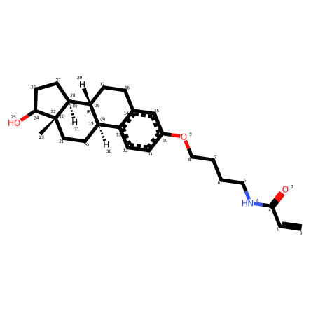 C=CC(=O)NCCCCOc1ccc2c(c1)CC[C@@H]1[C@@H]2CC[C@]2(C)C(O)CC[C@@H]12